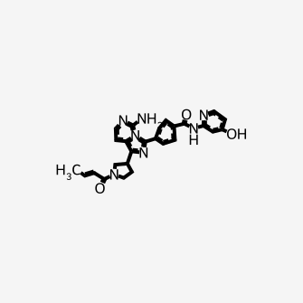 C/C=C/C(=O)N1CCC(c2nc(-c3ccc(C(=O)Nc4cc(O)ccn4)cc3)n3c(N)nccc23)C1